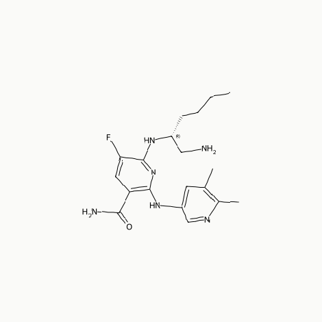 CCCC[C@H](CN)Nc1nc(Nc2cnc(C)c(C)c2)c(C(N)=O)cc1F